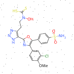 COc1ccc(-c2nc(-c3[nH]nnc3CCN(O)C(=S)S)oc2-c2ccc(S(N)(=O)=O)cc2)cc1Cl